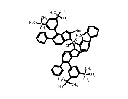 CC(C)(C)C1=Cc2c(ccc(-c3ccccc3)c2-c2cc([Si](C)(C)C)cc([Si](C)(C)C)c2)[CH]1[Zr]([Cl])([Cl])([c]1cccc2c1[SiH2]c1ccccc1-2)[CH]1C(C(C)(C)C)=Cc2c1ccc(-c1ccccc1)c2-c1cc([Si](C)(C)C)cc([Si](C)(C)C)c1